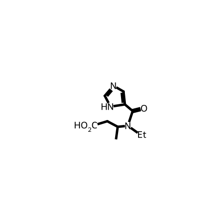 CCN(C(=O)c1cnc[nH]1)C(C)CC(=O)O